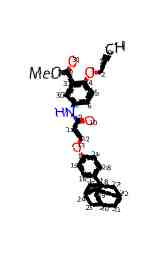 C#CCOc1ccc(NC(=O)C=COc2ccc(C34CC5CC(CC(C5)C3)C4)cc2)cc1C(=O)OC